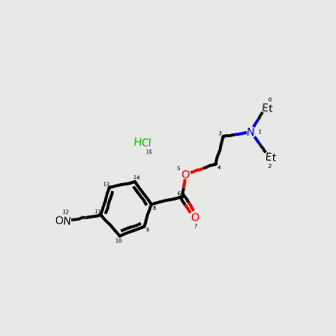 CCN(CC)CCOC(=O)c1ccc(N=O)cc1.Cl